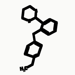 CCc1ccc(Cc2ccccc2C2SCCCS2)cc1